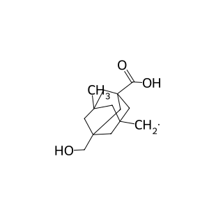 [CH2]C12CC3(C)CC(CO)(C1)CC(C(=O)O)(C2)C3